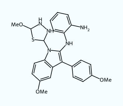 COc1ccc(-c2c(Nc3ccccc3N)n(C3NNC(OC)S3)c3ccc(OC)cc23)cc1